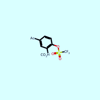 CC(=O)c1ccc(OS(=O)(=O)C(F)(F)F)c(C(=O)O)c1